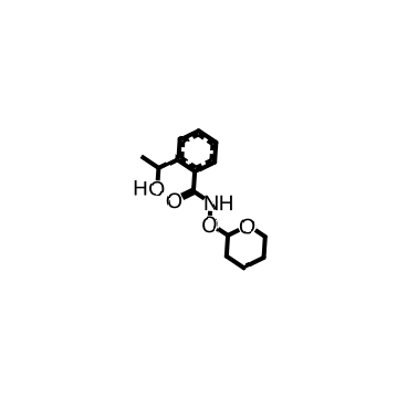 CC(O)c1ccccc1C(=O)NOC1CCCCO1